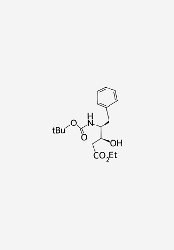 CCOC(=O)C[C@H](O)[C@H](Cc1ccccc1)NC(=O)OC(C)(C)C